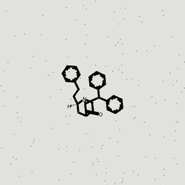 O=C1C2CCN(C1C(c1ccccc1)c1ccccc1)[C@H](CCc1ccccc1)C2